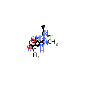 COc1cc2c(cc1-c1c(C)noc1C)[nH]c1nc(C)nc(Nc3cc(C4CC4)nn3CCF)c12